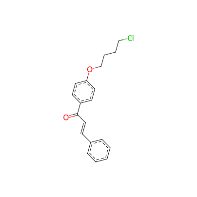 O=C(C=Cc1ccccc1)c1ccc(OCCCCCl)cc1